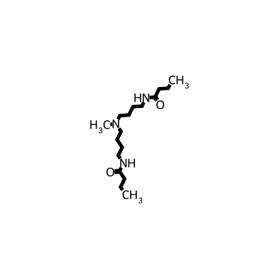 CCCC(=O)NCCCCN(C)CCCCNC(=O)CCC